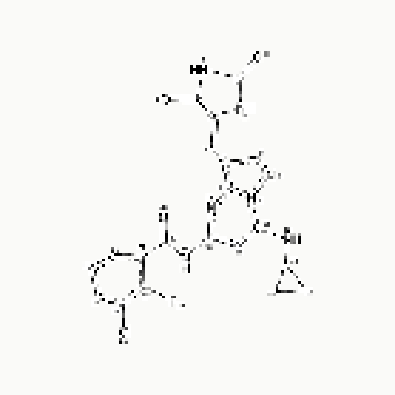 O=C1NC(=O)/C(=C/c2cnn3c(NC4CC4)cc(NC(=O)c4cccc(Cl)c4F)nc23)N1